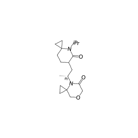 CC(C)N1C(=O)C(C[C@@H](C)N2C(=O)COCC23CC3)CCC12CC2